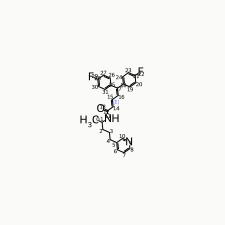 CC(CCCc1cccnc1)NC(=O)/C=C/C=C(c1ccc(F)cc1)c1ccc(F)cc1